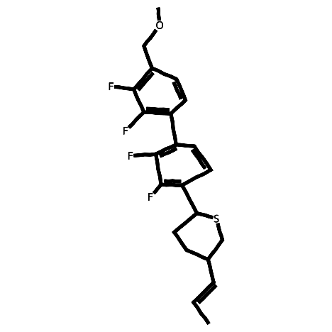 C/C=C/C1CCC(c2ccc(-c3ccc(COC)c(F)c3F)c(F)c2F)SC1